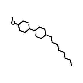 CCCCCCCC[C@H]1CC[C@H]([C@H]2CC[C@H](OC)CC2)CC1